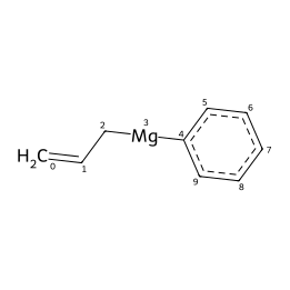 C=C[CH2][Mg][c]1ccccc1